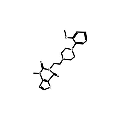 COc1ccccc1N1CCN(CCn2c(=O)c3sccc3n(C)c2=O)CC1